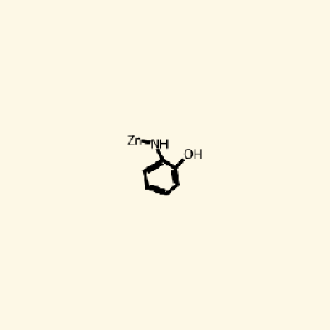 Oc1ccccc1[NH][Zn]